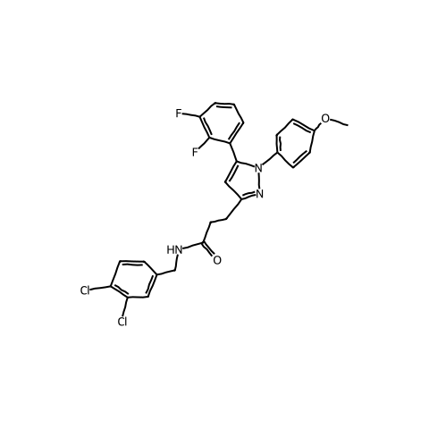 COc1ccc(-n2nc(CCC(=O)NCc3ccc(Cl)c(Cl)c3)cc2-c2cccc(F)c2F)cc1